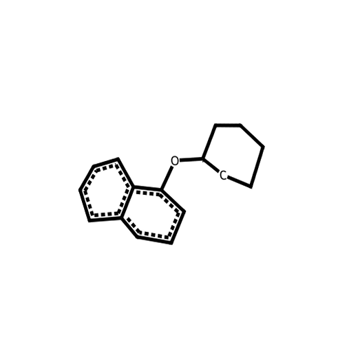 c1ccc2c(O[C]3CCCCC3)cccc2c1